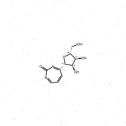 O=c1ncccc([C@@H]2O[C@H](CO)[C@@H](O)[C@H]2O)n1